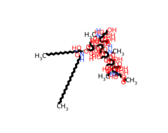 CCCCCCCCCCCCC/C=C/[C@@H](O)[C@H](CO[C@@H]1OC(CO)[C@@H](O[C@@H]2OC(CO)[C@H](O[C@@H]3OC(CO)[C@H](O)[C@H](O[C@@H]4OC(CO)[C@H](O)[C@H](O[C@]5(C(=O)O)CC(O)[C@@H](NC(C)=O)C([C@H](O)[C@H](O)COC(C)=O)O5)C4O)C3NC(C)=O)[C@H](O[C@]3(C(=O)O)CC(O)[C@@H](NC(C)=O)C([C@H](O)[C@H](O)CO)O3)C2O)[C@H](O)C1O)NC(=O)CCCCCCCCCCCCCCCCCCCCCCC